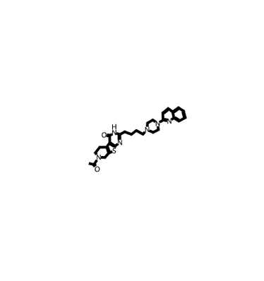 CC(=O)N1CCc2c(sc3nc(CCCCN4CCN(c5ccc6ccccc6n5)CC4)[nH]c(=O)c23)C1